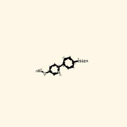 CCCCCCc1ccc(-c2ccc(OCCCC)cn2)cc1